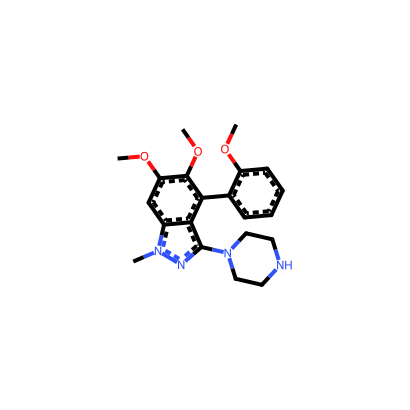 COc1ccccc1-c1c(OC)c(OC)cc2c1c(N1CCNCC1)nn2C